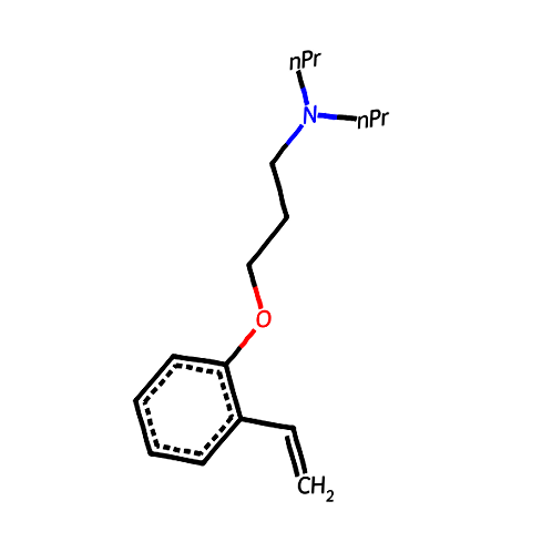 C=Cc1ccccc1OCCCN(CCC)CCC